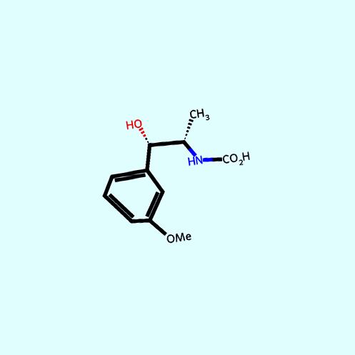 COc1cccc([C@H](O)[C@H](C)NC(=O)O)c1